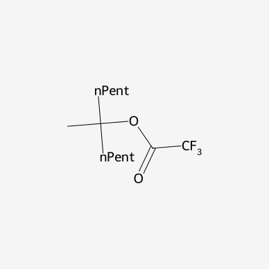 CCCCCC(C)(CCCCC)OC(=O)C(F)(F)F